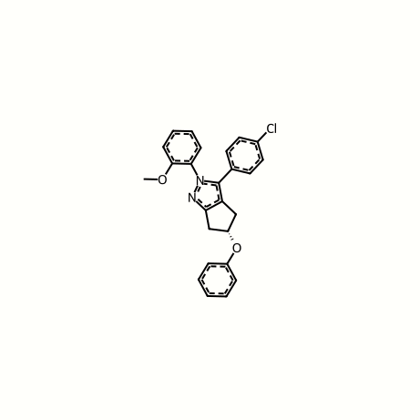 COc1ccccc1-n1nc2c(c1-c1ccc(Cl)cc1)C[C@H](Oc1ccccc1)C2